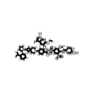 CCOc1nc2[nH]cc(F)c2cc1Oc1cc(N2CCC3(CC2)CC(N2CCC[C@@H]2c2ccccc2C(C)C)C3)ccc1C(=O)NS(=O)(=O)c1cc2c(c([N+](=O)[O-])c1)N[C@@H]([C@H]1CC[C@](C)(O)CC1)CO2